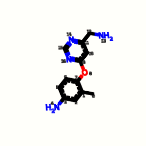 Cc1cc(N)ccc1Oc1cc(CN)ncn1